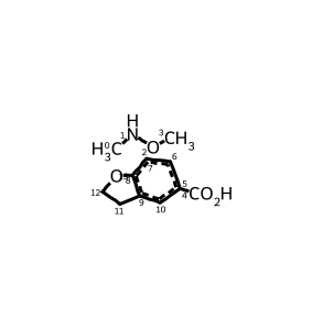 CNOC.O=C(O)c1ccc2c(c1)CCO2